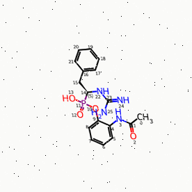 CC(=O)Nc1ccccc1OP(=O)(O)[C@@H](Cc1ccccc1)NC(=N)N